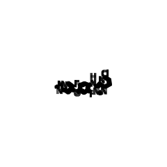 Fc1cc(Oc2ccn3ncnc3c2)c(F)cc1Nc1ncnc2ccc(Cl)nc12